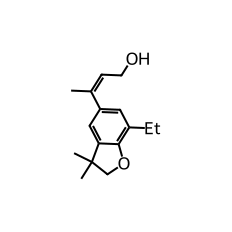 CCc1cc(/C(C)=C\CO)cc2c1OCC2(C)C